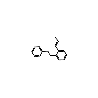 [CH2]/C=C/c1ccccc1CCc1ccccc1